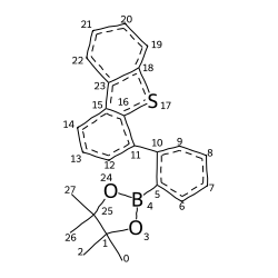 CC1(C)OB(c2ccccc2-c2cccc3c2sc2ccccc23)OC1(C)C